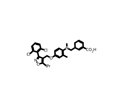 Cc1cc(OCc2c(-c3c(Cl)cccc3Cl)noc2C(C)C)ccc1N(C)CC1C=C(C(=O)O)C=CC1